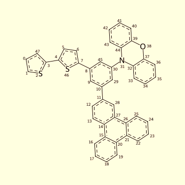 c1csc(-c2ccc(-c3cc(-c4ccc5c6ccccc6c6ccccc6c5c4)cc(N4c5ccccc5Oc5ccccc54)c3)s2)c1